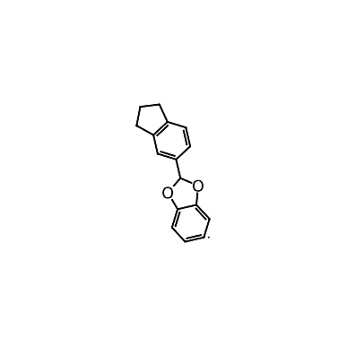 [c]1ccc2c(c1)OC(c1ccc3c(c1)CCC3)O2